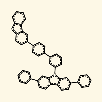 c1ccc(-c2ccc3c4ccc(-c5ccccc5)cc4n(-c4cccc(-c5ccc(-c6ccc7sc8ccccc8c7c6)cc5)c4)c3c2)cc1